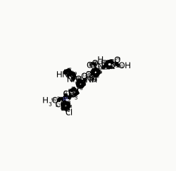 C/C(CN1CCN(c2ccc(C(=O)NS(=O)(=O)c3ccc(NCC4(F)CCN(C(=O)CO)CC4)c([N+](=O)[O-])c3)c(Oc3cnc4[nH]ccc4c3)c2)CC1)=C(\CC(C)C)c1ccc(Cl)cc1